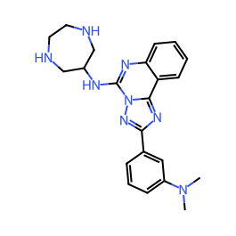 CN(C)c1cccc(-c2nc3c4ccccc4nc(NC4CNCCNC4)n3n2)c1